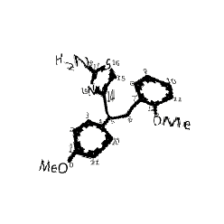 COc1ccc(C(Cc2ccccc2OC)c2csc(N)n2)cc1